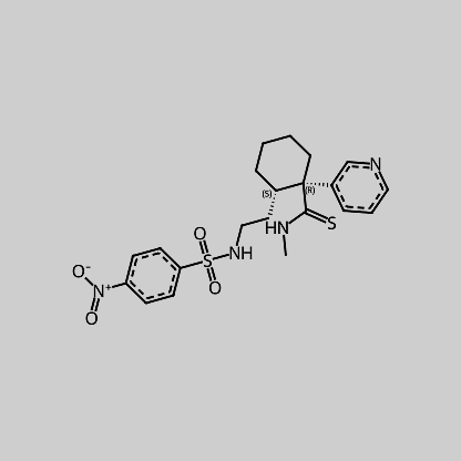 CNC(=S)[C@]1(c2cccnc2)CCCC[C@H]1CCNS(=O)(=O)c1ccc([N+](=O)[O-])cc1